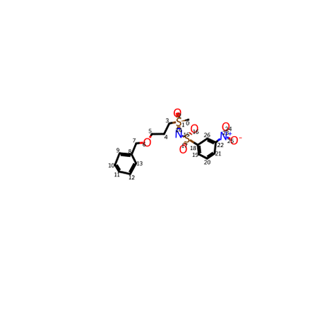 C[S@](=O)(CCCOCc1ccccc1)=NS(=O)(=O)c1cccc([N+](=O)[O-])c1